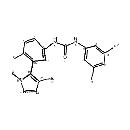 Cc1ccc(NC(=O)Nc2cc(F)cc(F)c2)cc1-c1c(Br)cnn1C